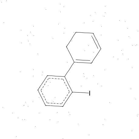 Ic1ccccc1C1=CC=CCC1